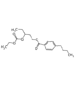 CCCCc1ccc(C(=O)OCCC(CC)OC(=O)OCC)cc1